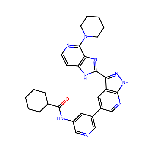 O=C(Nc1cncc(-c2cnc3[nH]nc(-c4nc5c(N6CCCCC6)nccc5[nH]4)c3c2)c1)C1CCCCC1